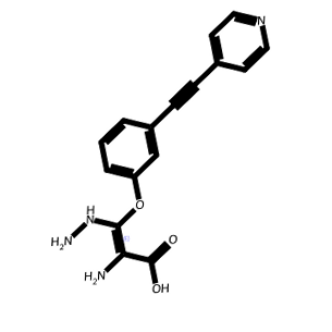 NN/C(Oc1cccc(C#Cc2ccncc2)c1)=C(\N)C(=O)O